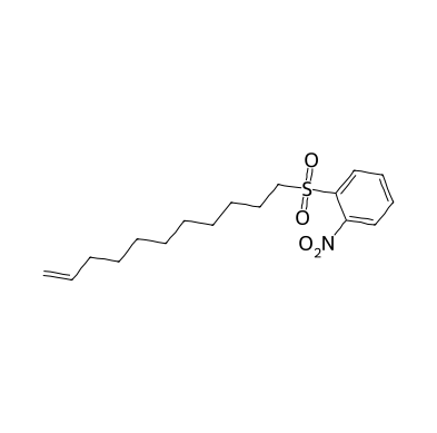 C=CCCCCCCCCCS(=O)(=O)c1ccccc1[N+](=O)[O-]